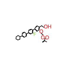 C=C(C)C(=O)OCCOc1cc(-c2ccc(-c3ccc(C4CCCCC4)cc3)cc2F)ccc1CCO